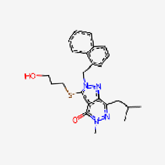 CC(C)Cc1nn(C)c(=O)c2c(SCCCO)n(Cc3cccc4ccccc34)nc12